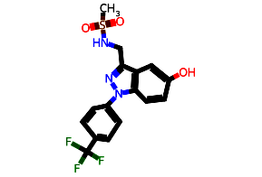 CS(=O)(=O)NCc1nn(-c2ccc(C(F)(F)F)cc2)c2ccc(O)cc12